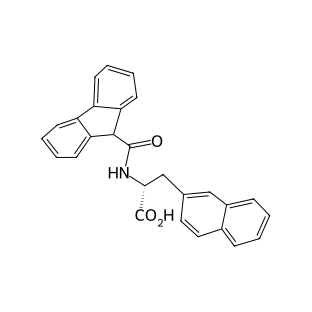 O=C(N[C@H](Cc1ccc2ccccc2c1)C(=O)O)C1c2ccccc2-c2ccccc21